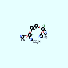 CC(=O)C1CN(Cc2cc(Cl)c(OCc3cccc(-c4cccc(COc5cc(OCc6cncc(C#N)c6)c(CN6CC(C(=O)O)C6)cc5Cl)c4C)c3C)cc2OCc2cncc(C#N)c2)C1